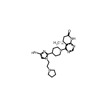 CCCc1cn(CCN2CCCC2)c(C2CCN(c3ncnc4c3[C@H](C)CC(=O)N4)CC2)n1